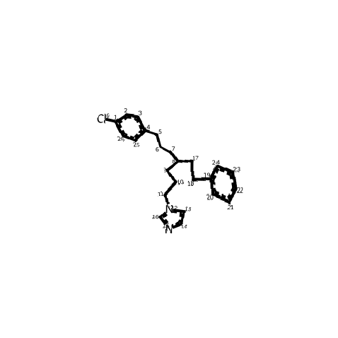 Clc1ccc(CCCC(CCCn2ccnc2)CCc2ccccc2)cc1